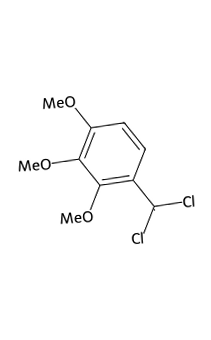 COc1ccc([C](Cl)Cl)c(OC)c1OC